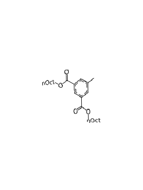 CCCCCCCCOC(=O)c1cc(C)cc(C(=O)OCCCCCCCC)c1